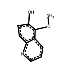 NOc1c(O)ccc2ncccc12